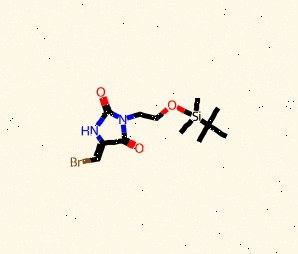 CC(C)(C)[Si](C)(C)OCCN1C(=O)NC(=CBr)C1=O